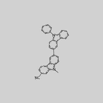 Cn1c2ccc(-c3ccc4c(c3)c3ccccc3n4-c3ccccc3)cc2c2ccc(C#N)cc21